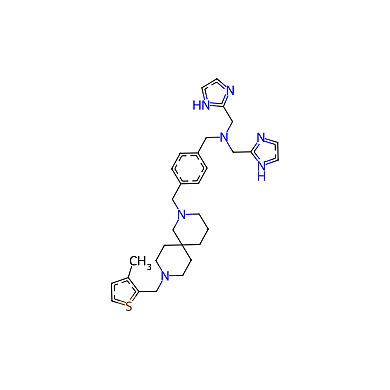 Cc1ccsc1CN1CCC2(CCCN(Cc3ccc(CN(Cc4ncc[nH]4)Cc4ncc[nH]4)cc3)C2)CC1